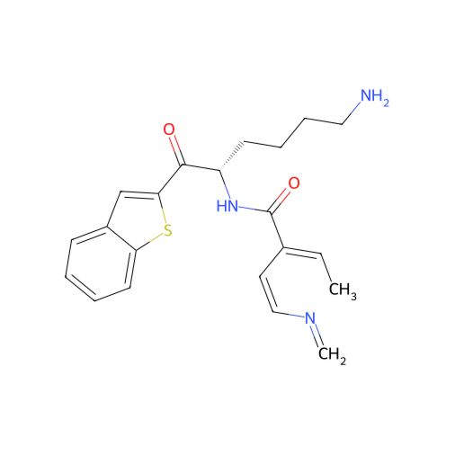 C=N/C=C\C(=C/C)C(=O)N[C@@H](CCCCN)C(=O)c1cc2ccccc2s1